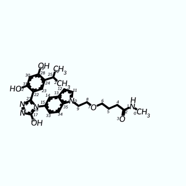 CNC(=O)CCCOCCn1ccc2cc(-n3c(O)nnc3-c3cc(C(C)C)c(O)cc3O)ccc21